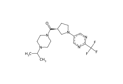 CC(C)N1CCN(C(=O)[C@H]2CCN(c3cnc(C(F)(F)F)nc3)C2)CC1